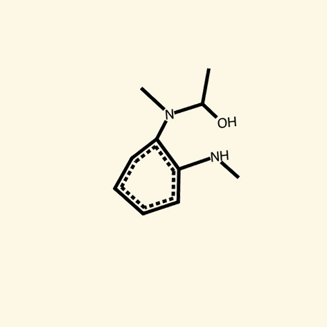 CNc1ccccc1N(C)C(C)O